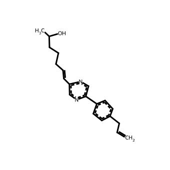 C=CCc1ccc(-c2cnc(C=CCCCC(C)O)cn2)cc1